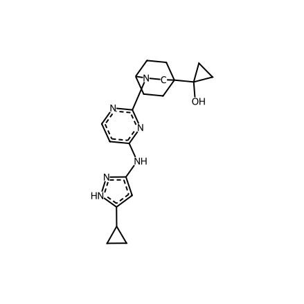 OC1(C23CCC(CC2)N(c2nccc(Nc4cc(C5CC5)[nH]n4)n2)C3)CC1